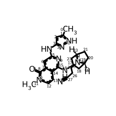 Cc1cc(Nc2cc3c(=O)n(C)ccc3c(N[C@@H]3C[C@H]4CC[C@@H](C3)N4CCC#N)n2)n[nH]1